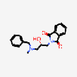 CN(Cc1ccccc1)C[C@H](O)CN1C(=O)c2ccccc2C1=O